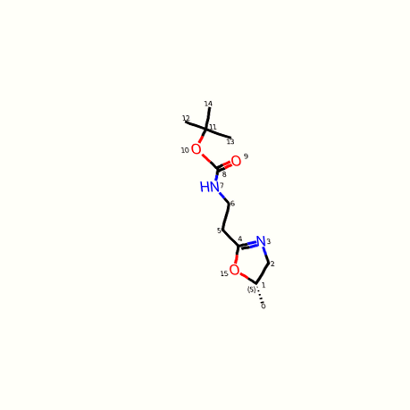 C[C@H]1CN=C(CCNC(=O)OC(C)(C)C)O1